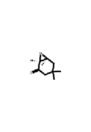 CC1(C)CC(=O)[C@H]2O[C@@]2(C)C1